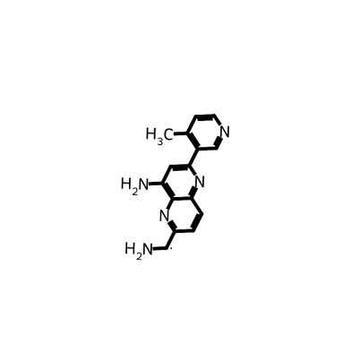 Cc1ccncc1-c1cc(N)c2nc([CH]N)ccc2n1